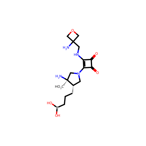 NC1(CNc2c(N3C[C@H](CCCB(O)O)[C@](N)(C(=O)O)C3)c(=O)c2=O)COC1